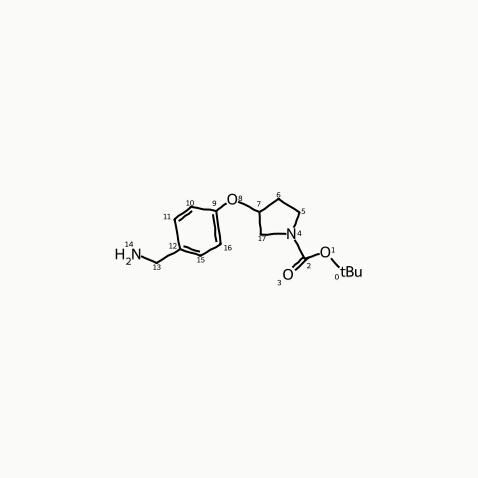 CC(C)(C)OC(=O)N1CCC(Oc2ccc(CN)cc2)C1